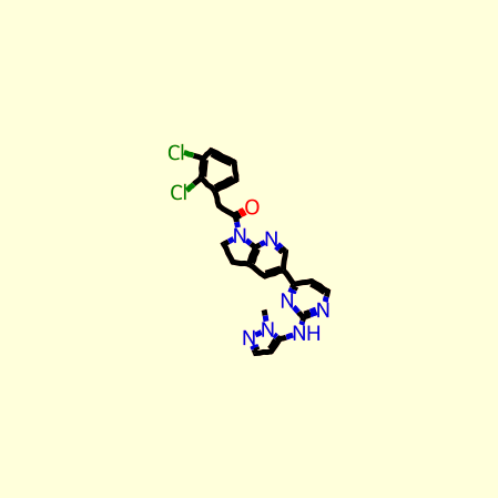 Cn1nccc1Nc1nccc(-c2cnc3c(c2)CCN3C(=O)Cc2cccc(Cl)c2Cl)n1